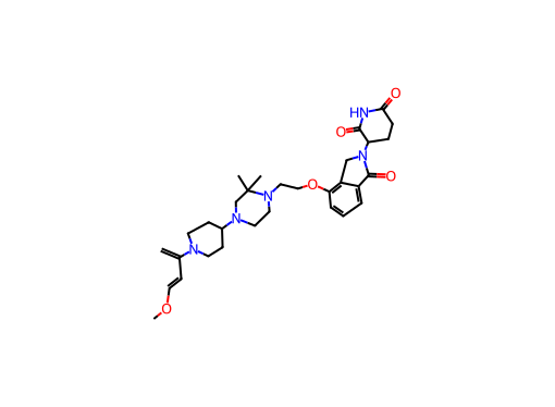 C=C(/C=C/OC)N1CCC(N2CCN(CCOc3cccc4c3CN(C3CCC(=O)NC3=O)C4=O)C(C)(C)C2)CC1